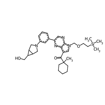 CC1(C(=O)c2cn(COCC[Si](C)(C)C)c3ncc(-c4cccc(N5CC6C(CO)C6C5)c4)nc23)CCCCC1